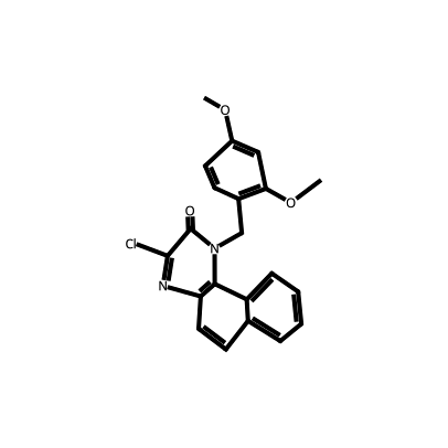 COc1ccc(Cn2c(=O)c(Cl)nc3ccc4ccccc4c32)c(OC)c1